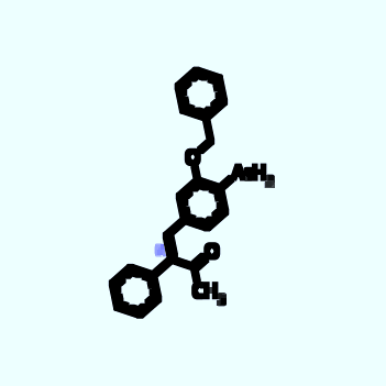 CC(=O)/C(=C\c1ccc([AsH2])c(OCc2ccccc2)c1)c1ccccc1